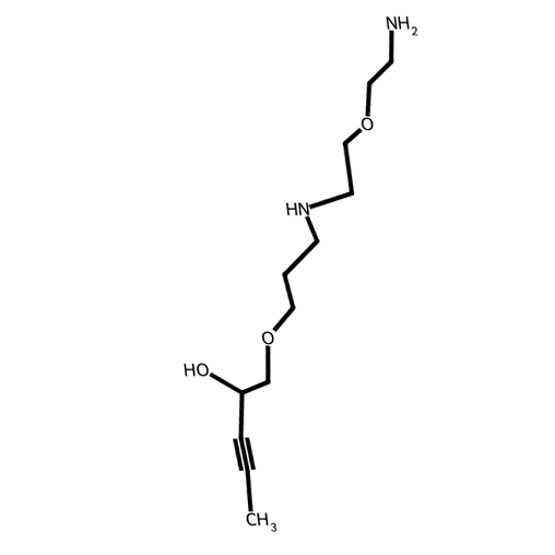 CC#CC(O)COCCCNCCOCCN